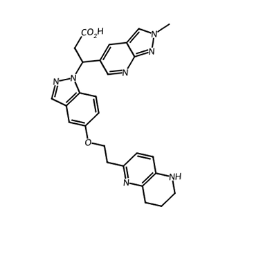 Cn1cc2cc(C(CC(=O)O)n3ncc4cc(OCCc5ccc6c(n5)CCCN6)ccc43)cnc2n1